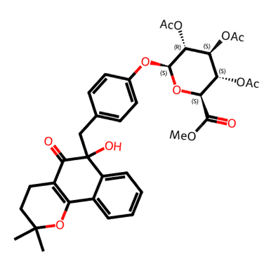 COC(=O)[C@H]1O[C@@H](Oc2ccc(CC3(O)C(=O)C4=C(OC(C)(C)CC4)c4ccccc43)cc2)[C@H](OC(C)=O)[C@@H](OC(C)=O)[C@@H]1OC(C)=O